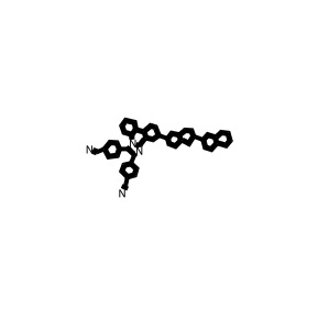 N#Cc1ccc(-c2nc3c4cc(-c5ccc6cc(-c7ccc8ccccc8c7)ccc6c5)ccc4c4ccccc4n3c2-c2ccc(C#N)cc2)cc1